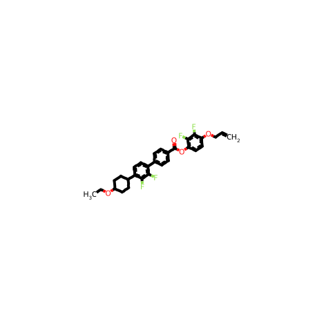 C=CCOc1ccc(OC(=O)c2ccc(-c3ccc(C4CCC(OCC)CC4)c(F)c3F)cc2)c(F)c1F